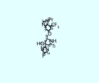 CC(C)n1cnc2cc(OC[C@@H]3C[C@](O)(c4ncc(F)cn4)C[C@H](C)N3)cc(C(F)(F)F)c21